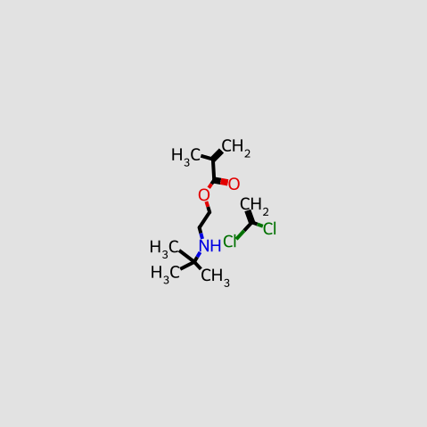 C=C(C)C(=O)OCCNC(C)(C)C.C=C(Cl)Cl